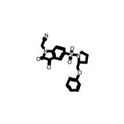 N#CCN1C(=O)C(=O)c2cc(S(=O)(=O)N3CCCC3COc3ccccc3)ccc21